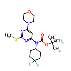 CSc1nc(N2CCOCC2)cc(N(C(=O)OC(C)(C)C)C2CCC(F)(F)CC2)n1